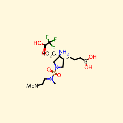 CNCCN(C)S(=O)(=O)N1C[C@@H](CCCB(O)O)[C@@](N)(C(=O)O)C1.O=C(O)C(F)(F)F